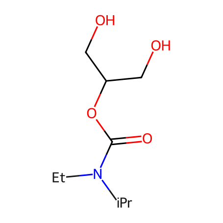 CCN(C(=O)OC(CO)CO)C(C)C